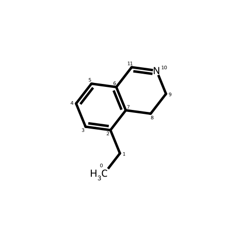 CCc1cccc2c1CCN=C2